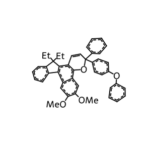 CCC1(CC)c2ccccc2-c2c1c1c(c3cc(OC)c(OC)cc23)OC(c2ccccc2)(c2ccc(Oc3ccccc3)cc2)C=C1